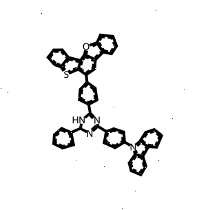 c1ccc(C2N=C(c3ccc(-n4c5ccccc5c5ccccc54)cc3)N=C(c3ccc(-c4cc5c6ccccc6oc5c5c4sc4ccccc45)cc3)N2)cc1